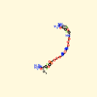 C/C(=C\c1cc(F)c(Oc2ccc(CNCCOCCOCCOCCn3cc(COCc4cn(CCOCCOCCOCCCS(=O)(=O)c5ccc(Oc6c(F)cc(/C=C(\C)C(=O)N=C(N)N)cc6F)cc5)nn4)nn3)cc2)c(F)c1)C(=O)N=C(N)N